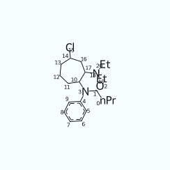 CCCC(=O)N(c1ccccc1)C1CCCC(Cl)CC1N(CC)CC